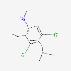 CNc1cc(Cl)c(C(C)C)c(Cl)c1C